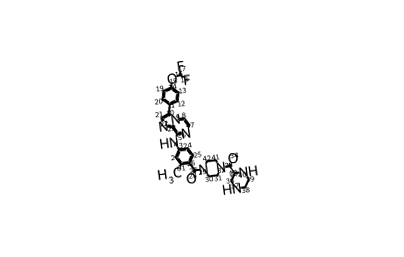 Cc1cc(Nc2nccn3c(-c4ccc(OC(F)F)cc4)cnc23)ccc1C(=O)N1CCN(C(=O)[C@@H]2CNCCN2)CC1